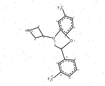 CC(Oc1ccc(C(F)(F)F)cc1OC1CNC1)c1cccc(C(F)(F)F)c1